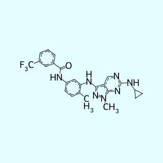 Cc1ccc(NC(=O)c2cccc(C(F)(F)F)c2)cc1Nc1nn(C)c2nc(NC3CC3)ncc12